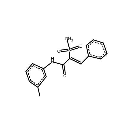 Cc1cccc(NC(=O)C(=Cc2ccccc2)S(N)(=O)=O)c1